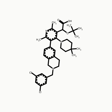 Cc1nc(C)c(C(OC(C)(C)C)C(=O)O)c(N2CCC(C)(C)CC2)c1-c1ccc2c(c1)CCN(Cc1cc(Cl)cc(Cl)c1)C2